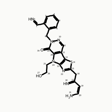 N=Cc1ccccc1Cn1ncc2c3sc(CC(=N)/C=C\N)nc3n(CCO)c2c1=O